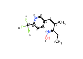 CCC(=NO)C(C)=Cc1ccc(C(F)(F)F)nc1